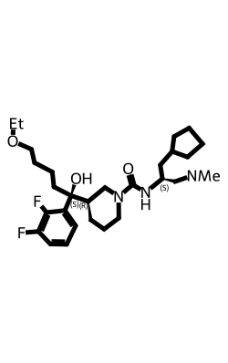 CCOCCCC[C@@](O)(c1cccc(F)c1F)[C@@H]1CCCN(C(=O)N[C@H](CNC)CC2CCCC2)C1